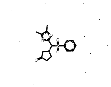 Cc1nc(C(C2CCC(=O)C2)S(=O)(=O)c2ccccc2)oc1C